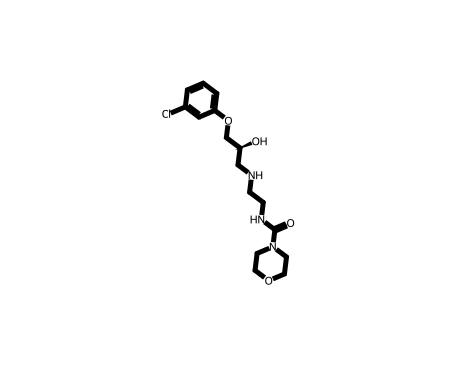 O=C(NCCNC[C@H](O)COc1cccc(Cl)c1)N1CCOCC1